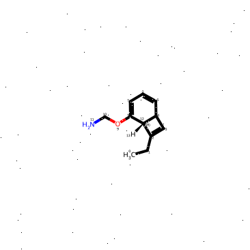 CCC1=CC2C=CC=C(OCN)[C@@H]12